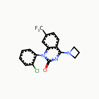 O=c1nc(N2CCC2)c2ccc(C(F)(F)F)cc2n1-c1ccccc1Cl